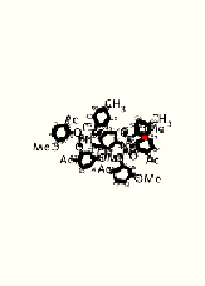 COc1ccc(C(C)=O)c(OP(Oc2cc(OC)ccc2C(C)=O)N(CC2(C)CCCC(N(P(Oc3cc(OC)ccc3C(C)=O)Oc3cc(OC)ccc3C(C)=O)S(=O)(=O)c3ccc(C)cc3)C2)S(=O)(=O)c2ccc(C)cc2)c1